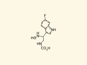 O=C(O)NCC(NO)c1c[nH]c2cc(F)ccc12